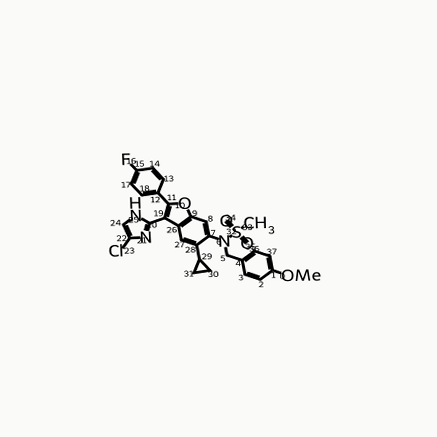 COc1ccc(CN(c2cc3oc(-c4ccc(F)cc4)c(-c4nc(Cl)c[nH]4)c3cc2C2CC2)S(C)(=O)=O)cc1